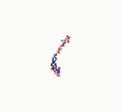 CC(C)(C)OC(=O)NCCOCCOCCOCCCN1CCN(c2ccc3c(c2)CN(C2CCC(=O)NC2=O)C3=O)CC1